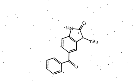 CCCCC1C(=O)Nc2ccc(C(=O)c3ccccc3)cc21